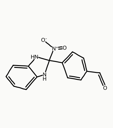 O=Cc1ccc(C2([N+](=O)[O-])Nc3ccccc3N2)cc1